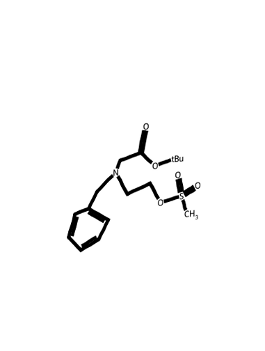 CC(C)(C)OC(=O)CN(CCOS(C)(=O)=O)Cc1ccccc1